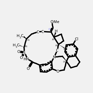 CO/C=C1\CCC[C@H](C)[C@@H](C)S(=O)(=O)NC(=O)c2ccc3c(c2)N(C[C@@H]2CC[C@@H]12)C[C@@]1(CCCc2cc(Cl)ccc21)CO3